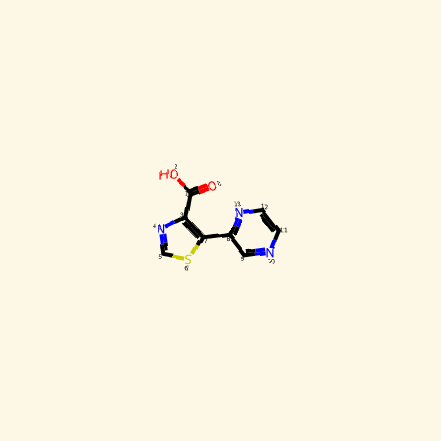 O=C(O)c1ncsc1-c1cnccn1